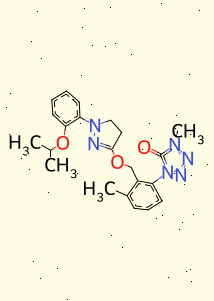 Cc1cccc(-n2nnn(C)c2=O)c1COC1=NN(c2ccccc2OC(C)C)CC1